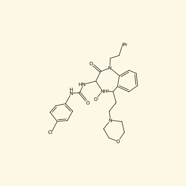 CC(C)CCN1C(=O)C(NC(=O)Nc2ccc(Cl)cc2)[NH+]([O-])C(CCN2CCOCC2)c2ccccc21